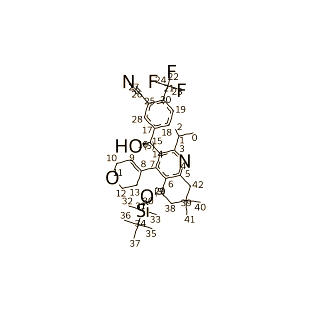 CC(C)c1nc2c(c(C3=CCOCC3)c1[C@@H](O)c1ccc(C(F)(F)F)c(C#N)c1)[C@@H](O[Si](C)(C)C(C)(C)C)CC(C)(C)C2